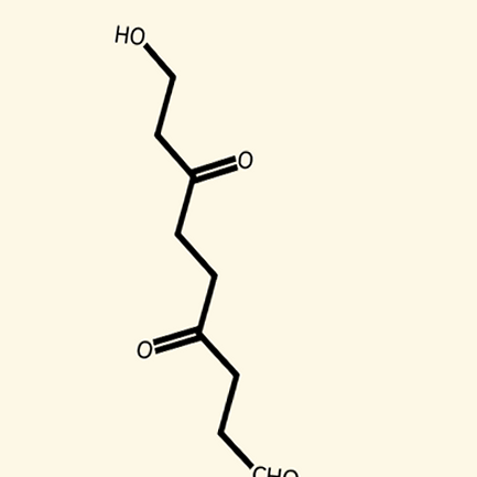 O=CCCC(=O)CCC(=O)CCO